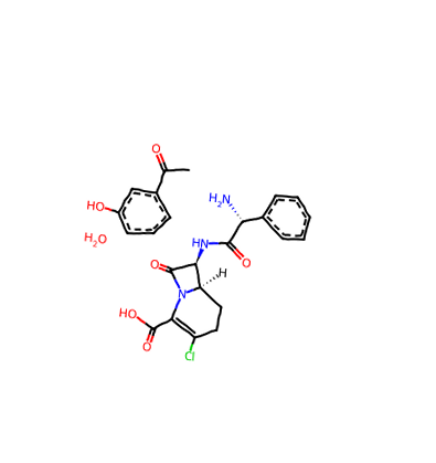 CC(=O)c1cccc(O)c1.N[C@@H](C(=O)N[C@@H]1C(=O)N2C(C(=O)O)=C(Cl)CC[C@H]12)c1ccccc1.O